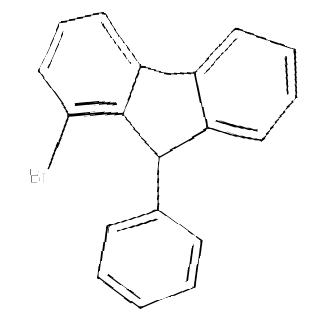 Brc1cccc2c1C(c1ccccc1)c1ccccc1-2